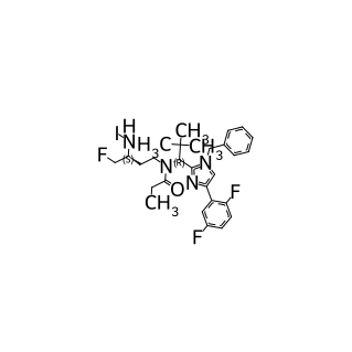 CCC(=O)N(CC[C@@H](CF)NI)[C@@H](c1nc(-c2cc(F)ccc2F)cn1Cc1ccccc1)C(C)(C)C